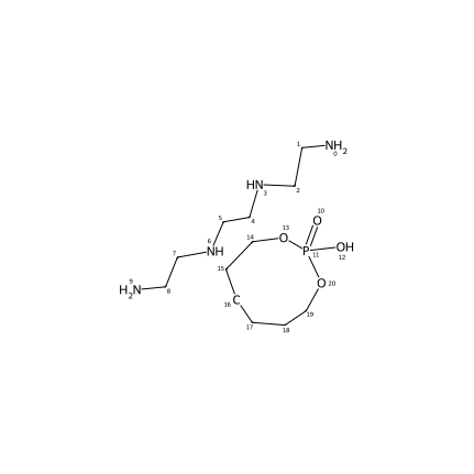 NCCNCCNCCN.O=P1(O)OCCCCCCO1